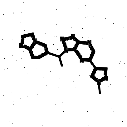 CC(c1ccc2nccn2c1)n1nnc2ncc(-c3cnn(C)c3)nc21